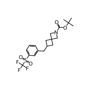 CC(C)(C)OC(=O)N1CC2(CC(Cc3cccc(S(=O)(=O)C(F)(F)F)c3)C2)C1